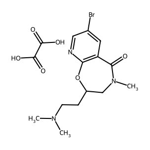 CN(C)CCC1CN(C)C(=O)c2cc(Br)cnc2O1.O=C(O)C(=O)O